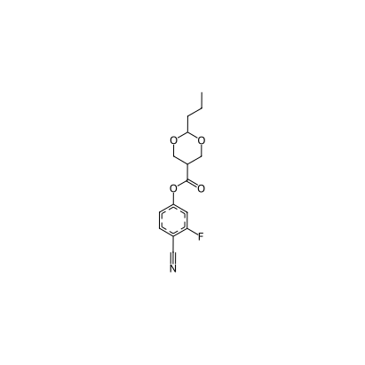 CCCC1OCC(C(=O)Oc2ccc(C#N)c(F)c2)CO1